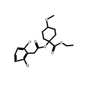 CCOC(=O)C1(OC(=O)Cc2c(Cl)cccc2Cl)CCC(OC)CC1